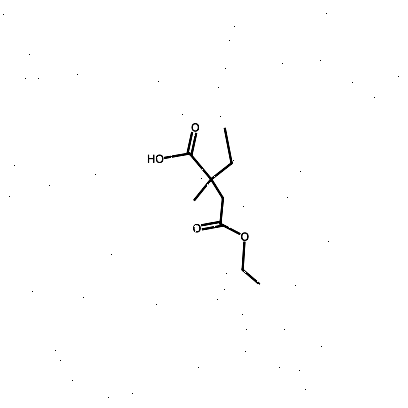 CCOC(=O)CC(C)(CC)C(=O)O